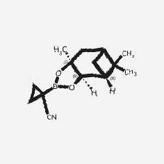 CC1(C)C2C[C@H]1[C@H]1OB(C3(C#N)CC3)O[C@@]1(C)C2